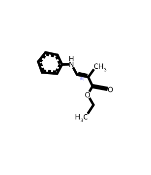 CCOC(=O)/C(C)=C/Nc1ccccc1